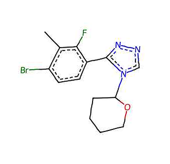 Cc1c(Br)ccc(-c2nncn2C2CCCCO2)c1F